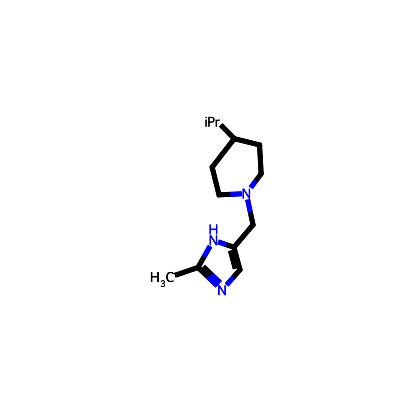 Cc1ncc(CN2CCC(C(C)C)CC2)[nH]1